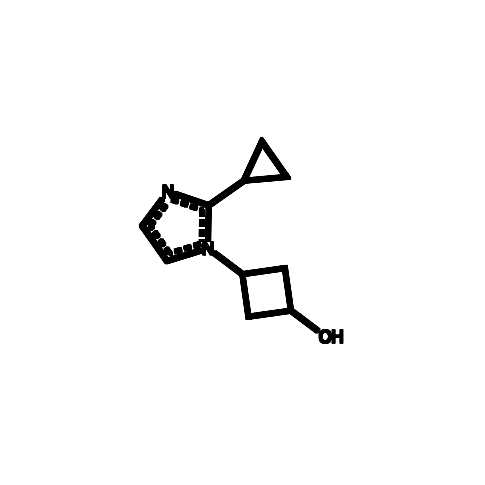 OC1CC(n2ccnc2C2CC2)C1